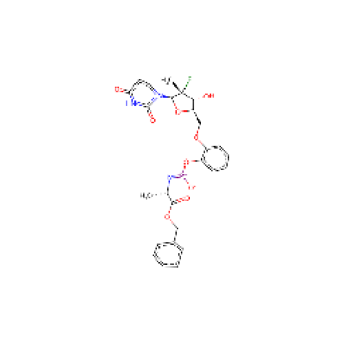 C[C@H](/N=[P+](\[O-])Oc1ccccc1OC[C@H]1O[C@@H](n2ccc(=O)[nH]c2=O)[C@](C)(F)[C@@H]1O)C(=O)OCc1ccccc1